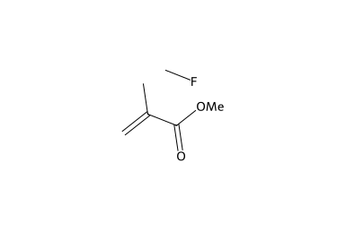 C=C(C)C(=O)OC.CF